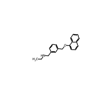 CCNCc1cccc(COc2cccc3ccccc23)c1